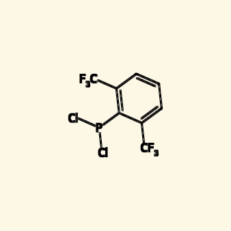 FC(F)(F)c1cccc(C(F)(F)F)c1P(Cl)Cl